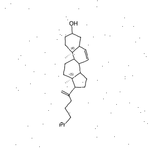 C=C(CCCC(C)C)C1CCC2C3C=CC4CC(O)CC[C@]4(C)C3CC[C@]12C